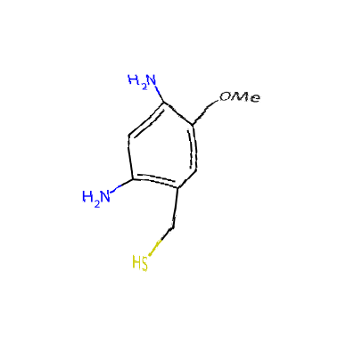 COc1cc(CS)c(N)cc1N